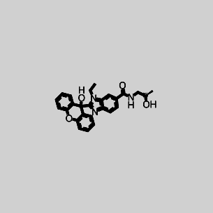 CCn1c(C2(O)c3ccccc3Oc3ccccc32)nc2ccc(C(=O)NC[C@@H](C)O)cc21